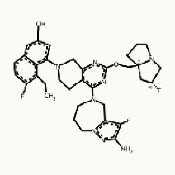 CCc1c(F)ccc2cc(O)cc(N3CCc4c(nc(OC[C@@]56CCCN5C[C@H](F)C6)nc4N4CCCn5nc(N)c(F)c5C4)C3)c12